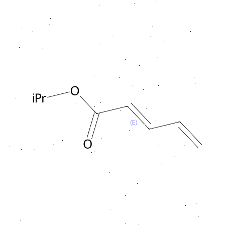 C=C/C=C/C(=O)OC(C)C